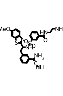 COc1ccc2nc(C(Cc3cccc(C(N)=C=N)c3)NS(=O)(=O)c3cccc(C(=O)NCCN)c3)sc2c1